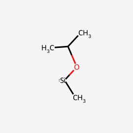 C[Si]OC(C)C